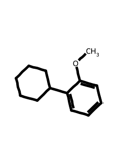 COc1c[c]ccc1C1CCCCC1